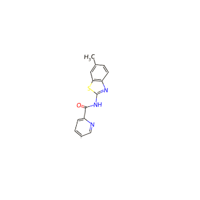 Cc1ccc2nc(NC(=O)c3cc[c]cn3)sc2c1